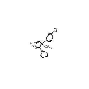 C=CC(C)(C(=O)N1CCCC1)c1ccc(Cl)cc1